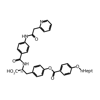 CCCCCCCOc1ccc(C(=O)Oc2ccc(C[C@H](NC(=O)c3ccc(NC(=O)Cc4ccccn4)cc3)C(=O)O)cc2)cc1